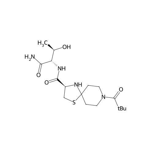 C[C@@H](O)[C@H](NC(=O)[C@@H]1CSC2(CCN(C(=O)C(C)(C)C)CC2)N1)C(N)=O